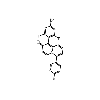 O=c1ccn2c(-c3ccc(F)cc3)cccc2c1-c1c(F)cc(Br)cc1F